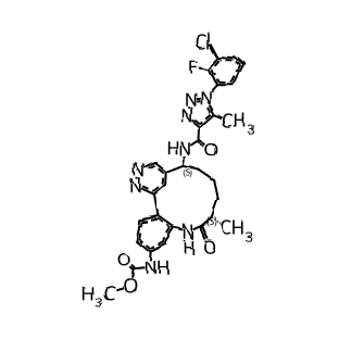 COC(=O)Nc1ccc2c(c1)NC(=O)[C@@H](C)CCC[C@H](NC(=O)c1nnn(-c3cccc(Cl)c3F)c1C)c1cnnc-2c1